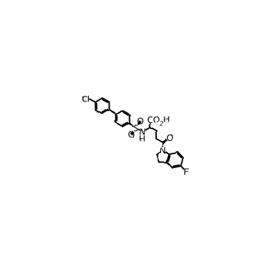 O=C(O)C(CCC(=O)N1CCc2cc(F)ccc21)NS(=O)(=O)c1ccc(-c2ccc(Cl)cc2)cc1